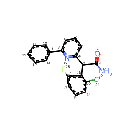 NC(=O)C(c1cccc(-c2ccccc2)n1)c1c(F)cccc1Cl